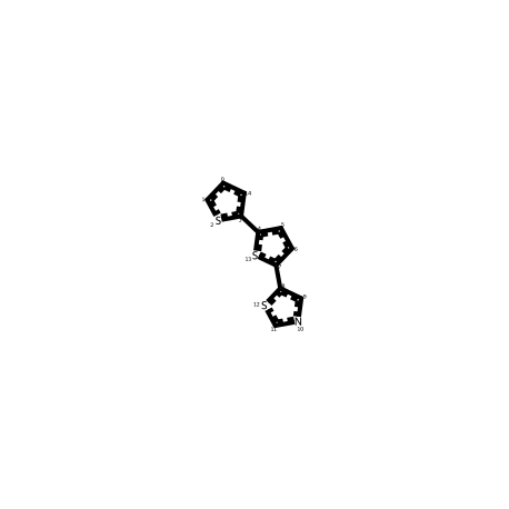 c1csc(-c2ccc(-c3cncs3)s2)c1